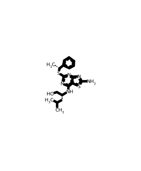 CC(C)C[C@H](CO)Nc1nc(S[C@H](C)c2ccccc2)nc2nc(N)sc12